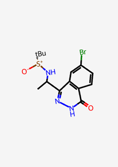 CC(N[S@+]([O-])C(C)(C)C)c1n[nH]c(=O)c2ccc(Br)cc12